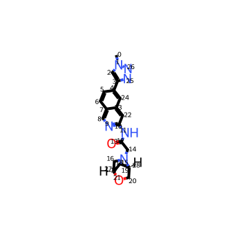 Cn1cc(-c2ccc3cnc(NC(=O)CN4C[C@H]5C[C@@H]4CO5)cc3c2)nn1